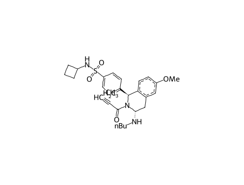 C#CC(=O)N1[C@@H](NCCCC)Cc2cc(OC)ccc2[C@@H]1C(=C)/C=C\C(=C/C)S(=O)(=O)NC1CCC1